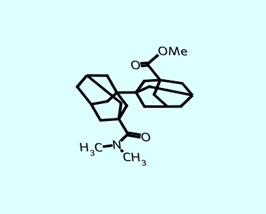 COC(=O)C12CC3CC(C1)CC(C14CC5CC(CC(C(=O)N(C)C)(C5)C1)C4)(C3)C2